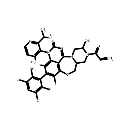 C=CC(=O)N1CC2COc3c(F)c(-c4c(N)c(Cl)cc(Cl)c4F)c(F)c4c3c(nc(=O)n4-c3c(C)ccnc3C(C)C)N2CC1C